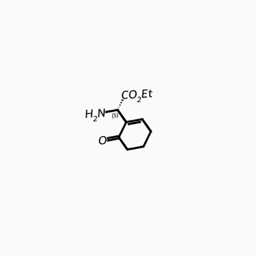 CCOC(=O)[C@@H](N)C1=CCCCC1=O